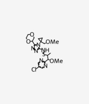 COCC1(n2c(NSC(C)C(OC)c3ncc(Cl)cn3)nnc2C2COCCO2)CC1